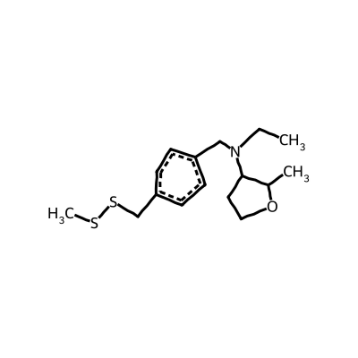 CCN(Cc1ccc(CSSC)cc1)C1CCOC1C